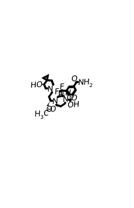 COC[C@H](CCN1CCC2(CC2)[C@H](O)C1)N1C[C@@H](C)[N+](C(=O)O)(c2ccc(C(N)=O)cc2C(F)(F)F)CCC1=O